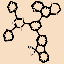 CC1(C)c2ccccc2-c2ccc(-c3cc(-c4cc5c(c6cccnc46)NCCN5)cc(C4N=C(c5ccccc5)N=C(c5ccccc5)N4)c3)cc21